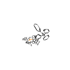 CC(C#N)[P+](C)(C(C)C#N)C(C)C#N.c1ccc([B-](c2ccccc2)(c2ccccc2)c2ccccc2)cc1